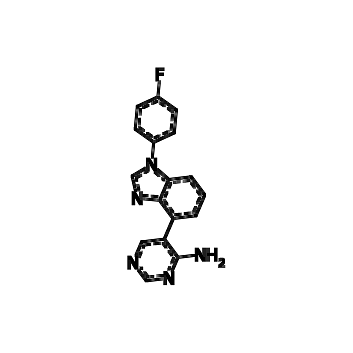 Nc1ncncc1-c1cccc2c1ncn2-c1ccc(F)cc1